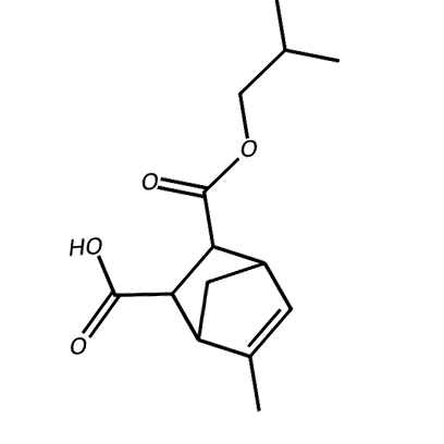 CC1=CC2CC1C(C(=O)O)C2C(=O)OCC(C)C